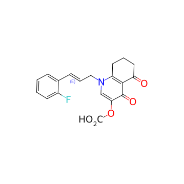 O=C(O)Oc1cn(C/C=C/c2ccccc2F)c2c(c1=O)C(=O)CCC2